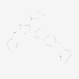 CS(=O)(=O)CC(=O)N1C[C@H](Cc2ccccc2)C[C@H]1C(=O)Nc1ccc(Oc2ccc(F)cc2)cc1